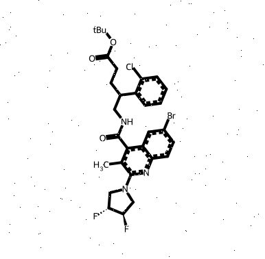 Cc1c(N2C[C@@H](F)[C@H](F)C2)nc2ccc(Br)cc2c1C(=O)NCC(CCC(=O)OC(C)(C)C)c1ccccc1Cl